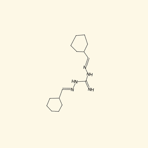 N=C(N/N=C/C1CCCCC1)N/N=C/C1CCCCC1